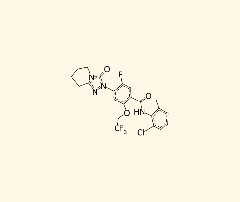 Cc1cccc(Cl)c1NC(=O)c1cc(F)c(-n2nc3n(c2=O)CCCC3)cc1OCC(F)(F)F